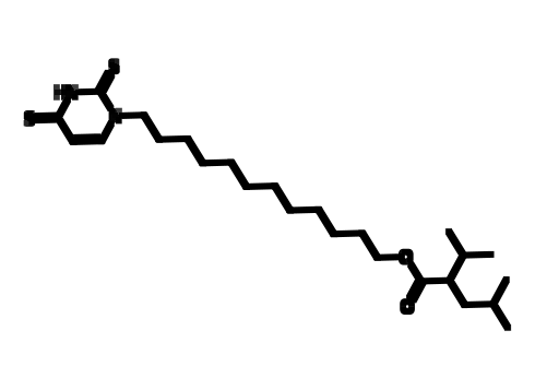 CC(C)CC(C(=O)OCCCCCCCCCCCCn1ccc(=S)[nH]c1=S)C(C)C